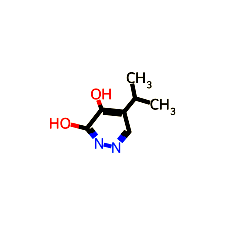 CC(C)c1cnnc(O)c1O